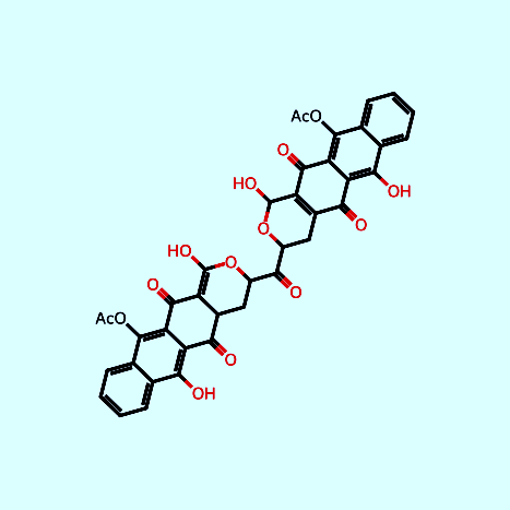 CC(=O)Oc1c2c(c(O)c3ccccc13)C(=O)C1=C(C2=O)C(O)OC(C(=O)C2CC3C(=O)c4c(c(OC(C)=O)c5ccccc5c4O)C(=O)C3=C(O)O2)C1